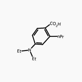 CCCc1cc(N(CC)CC)ccc1C(=O)O